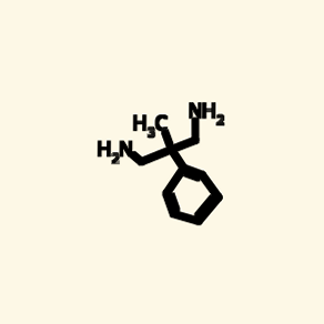 CC(CN)(CN)c1ccccc1